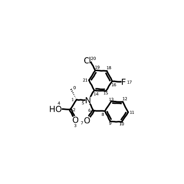 C[C@@H](C(=O)O)N(C(=O)c1ccccc1)c1cc(F)cc(Cl)c1